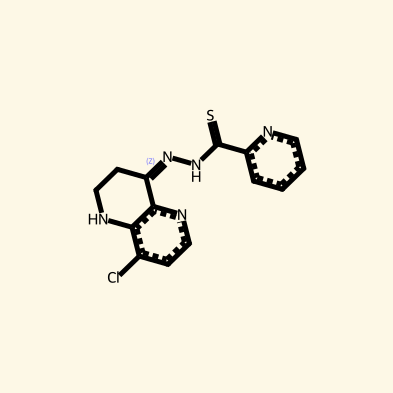 S=C(N/N=C1/CCNc2c(Cl)ccnc21)c1ccccn1